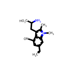 C=Cc1cc(N=O)c2c(CC(N)C(=O)O)c(C)n(C)c2c1